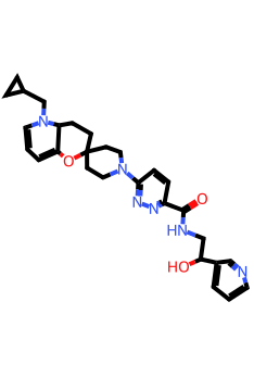 O=C(NCC(O)c1cccnc1)c1ccc(N2CCC3(CCC4C(=CC=CN4CC4CC4)O3)CC2)nn1